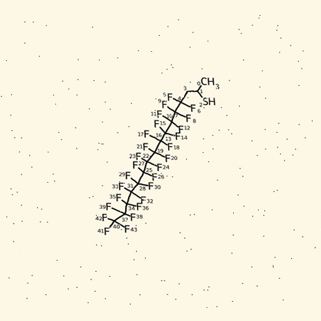 CC(S)CC(F)(F)C(F)(F)C(F)(F)C(F)(F)C(F)(F)C(F)(F)C(F)(F)C(F)(F)C(F)(F)C(F)(F)C(F)(F)C(F)(F)C(F)(F)F